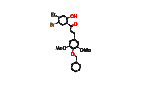 CCc1cc(O)c(C(=O)/C=C/c2cc(OC)c(OCc3ccccc3)c(OC)c2)cc1Br